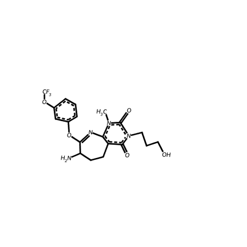 Cn1c2c(c(=O)n(CCCO)c1=O)CCC(N)C(Oc1cccc(OC(F)(F)F)c1)=N2